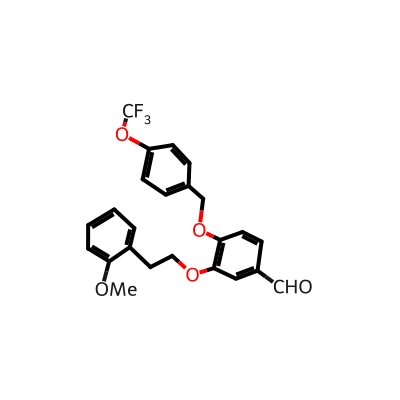 COc1ccccc1CCOc1cc(C=O)ccc1OCc1ccc(OC(F)(F)F)cc1